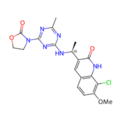 COc1ccc2cc([C@H](C)Nc3nc(C)nc(N4CCOC4=O)n3)c(=O)[nH]c2c1Cl